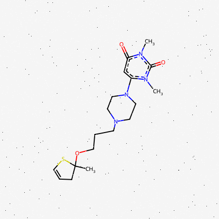 Cn1c(N2CCN(CCCOC3(C)CC=CS3)CC2)cc(=O)n(C)c1=O